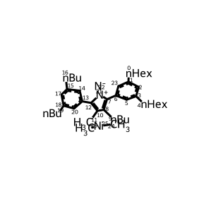 CCCCCCc1cc(CCCCCC)cc(C2=C(CCCC)C(C)=C(c3cc(CCCC)cc(CCCC)c3)[N+]2=[N-])c1.[CH3][Ni][CH3]